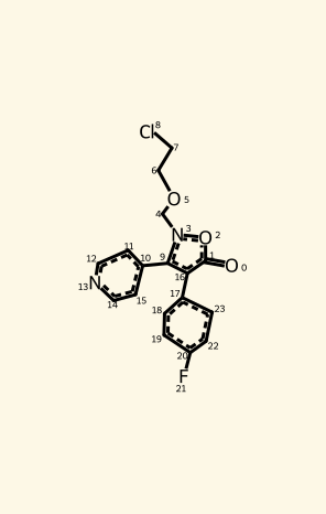 O=c1on(COCCCl)c(-c2ccncc2)c1-c1ccc(F)cc1